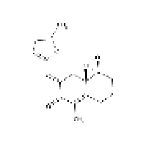 CC1=C2CCC[C@H](O)[C@@]2(C)CC(=Cc2ccc(C)o2)C1=O